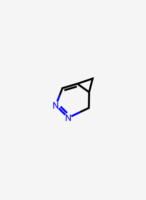 C1=C2CC2CN=N1